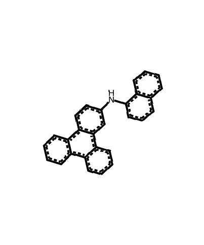 c1ccc2c(Nc3ccc4c5ccccc5c5ccccc5c4c3)cccc2c1